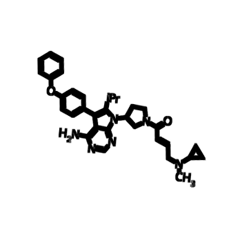 CC(C)c1c(-c2ccc(Oc3ccccc3)cc2)c2c(N)ncnc2n1C1CCN(C(=O)/C=C/CN(C)C2CC2)C1